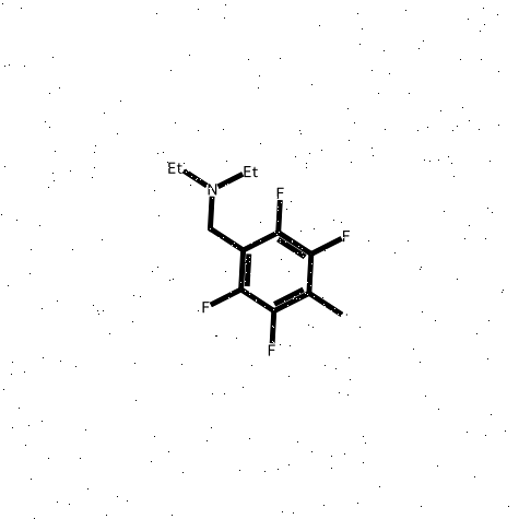 [CH2]c1c(F)c(F)c(CN(CC)CC)c(F)c1F